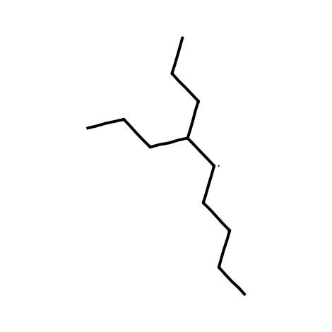 CCCC[CH]C(CCC)CCC